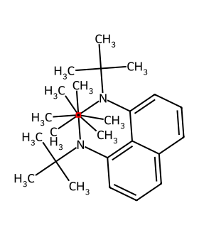 CC(C)(C)N(c1cccc2cccc(N(C(C)(C)C)C(C)(C)C)c12)C(C)(C)C